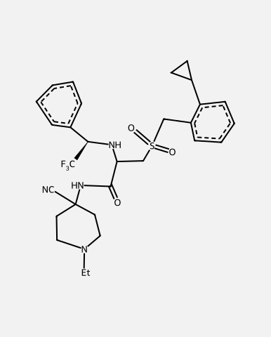 CCN1CCC(C#N)(NC(=O)C(CS(=O)(=O)Cc2ccccc2C2CC2)N[C@H](c2ccccc2)C(F)(F)F)CC1